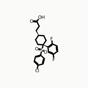 O=C(O)CC[C@H]1CC[C@](c2cc(F)ccc2F)(S(=O)(=O)c2ccc(Cl)cc2)CC1